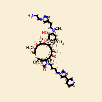 CC[C@H]1OC(=O)[C@H](C)C(=O)[C@H](C)[C@@H](O[C@@H]2O[C@H](C)C[C@H](N(C)CCc3cn(CCN)nn3)[C@H]2O)[C@](C)(OC)C[C@@H](C)C(=O)[C@H](C)[C@H]2N(CCCCn3cnc(-c4cccnc4)c3)C(=O)O[C@]12C